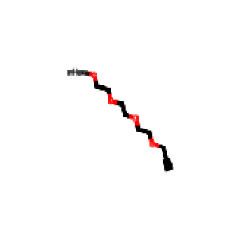 C#CCOCCOCCOCCOCCCCCC